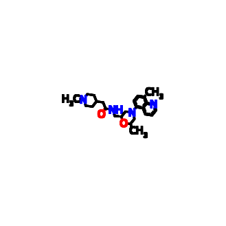 Cc1ccc(N2C[C@H](CNC(=O)CC3CCN(C)CC3)O[C@H](C)C2)c2cccnc12